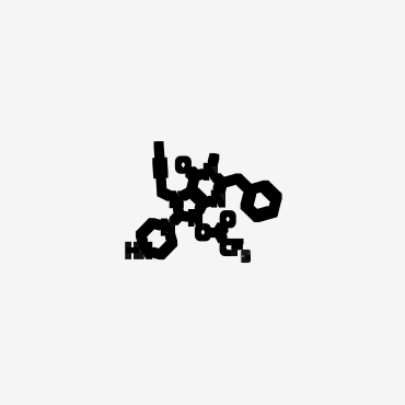 CC#CCN1c2c(nc(Cc3ccccc3)n(C)c2=O)N(OC(=O)C(F)(F)F)C1N1CCNCC1